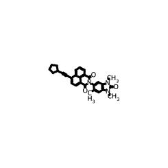 Cc1cc2c(cc1N1C(=O)c3cccc4c(C#CC5CCCC5)ccc(c34)C1=O)n(C)c(=O)n2C